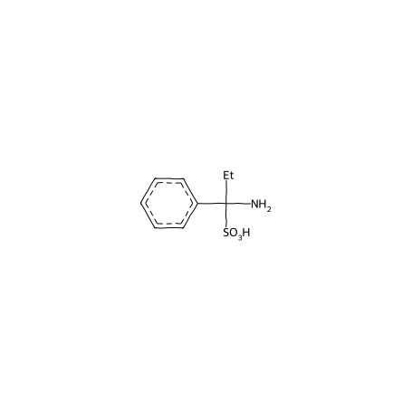 CCC(N)(c1ccccc1)S(=O)(=O)O